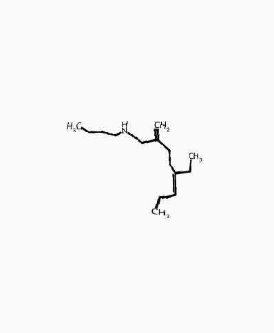 C=C(CC/C(=C\CC)CC)CNCCCC